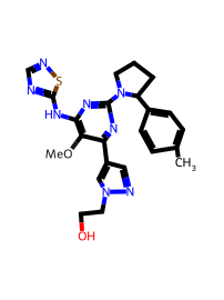 COc1c(Nc2ncns2)nc(N2CCCC2c2ccc(C)cc2)nc1-c1cnn(CCO)c1